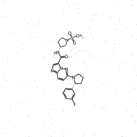 CS(=O)(=O)N1CC[C@@H](NC(=O)c2cnc3ccc(N4CCC[C@@H]4c4cccc(F)c4)nn23)C1